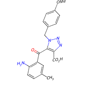 COc1ccc(Cn2nnc(C(=O)O)c2C(=O)c2cc(C)ccc2N)cc1